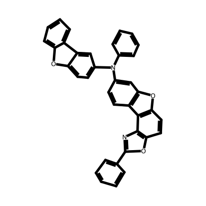 c1ccc(-c2nc3c(ccc4oc5cc(N(c6ccccc6)c6ccc7oc8ccccc8c7c6)ccc5c43)o2)cc1